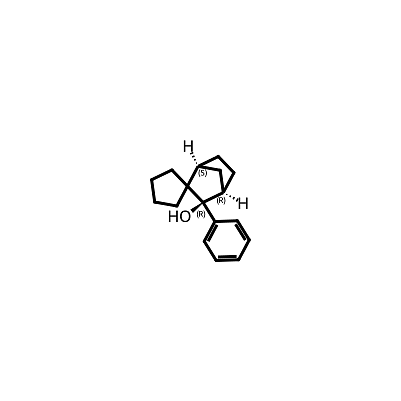 O[C@]1(c2ccccc2)[C@@H]2CC[C@@H](C2)C12CCCC2